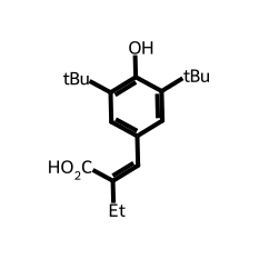 CCC(=Cc1cc(C(C)(C)C)c(O)c(C(C)(C)C)c1)C(=O)O